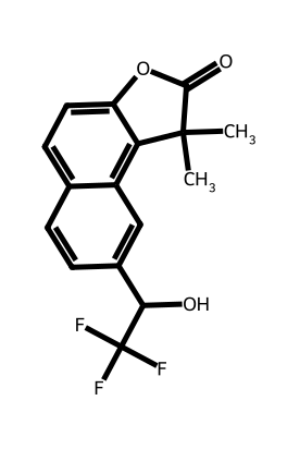 CC1(C)C(=O)Oc2ccc3ccc(C(O)C(F)(F)F)cc3c21